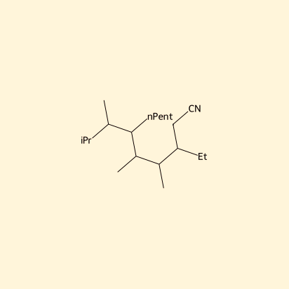 CCCCCC(C(C)C(C)C)C(C)C(C)C(CC)CC#N